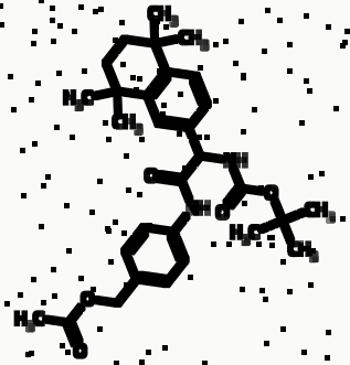 CC(=O)OCc1ccc(NC(=O)C(NC(=O)OC(C)(C)C)c2ccc3c(c2)C(C)(C)CCC3(C)C)cc1